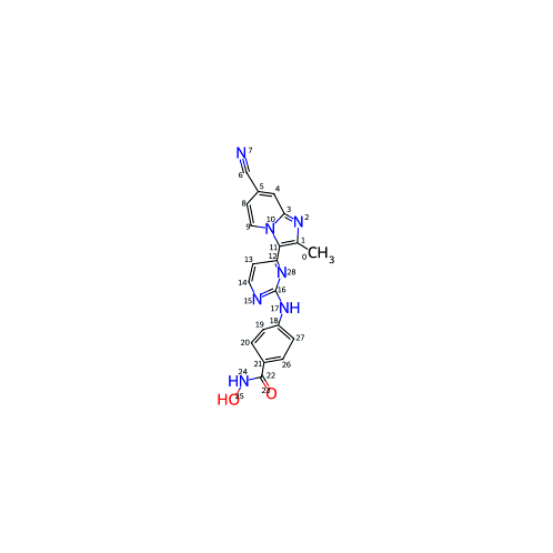 Cc1nc2cc(C#N)ccn2c1-c1ccnc(Nc2ccc(C(=O)NO)cc2)n1